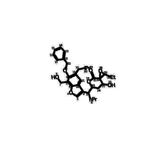 CCCC(c1coc2c(CO)c(OCc3ccccc3)c(CC(C)C)cc12)C1CC(O)C2(OC2CC)C(=O)O1